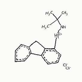 CC(C)(C)[NH][Hf+2][c]1cccc2c1Cc1ccccc1-2.[Cl-].[Cl-]